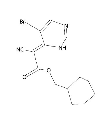 N#CC(C(=O)OCC1CCCCC1)=C1NC=NC=C1Br